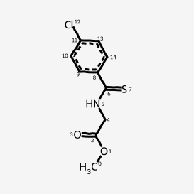 COC(=O)CNC(=S)c1ccc(Cl)cc1